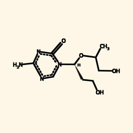 CC(CO)O[C@H](CCO)n1cnc(N)nc1=O